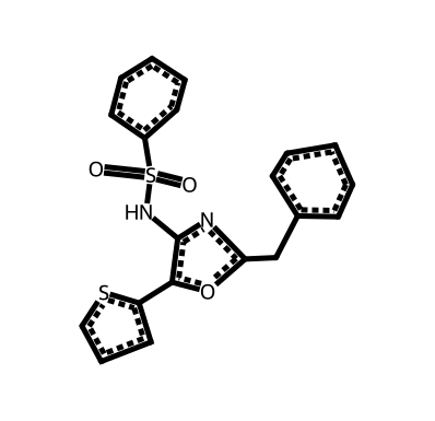 O=S(=O)(Nc1nc(Cc2ccccc2)oc1-c1cccs1)c1ccccc1